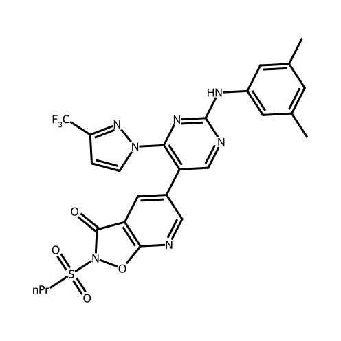 CCCS(=O)(=O)n1oc2ncc(-c3cnc(Nc4cc(C)cc(C)c4)nc3-n3ccc(C(F)(F)F)n3)cc2c1=O